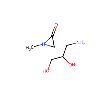 CN1CC1=O.NCC(O)CO